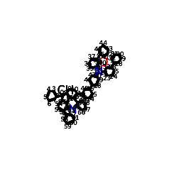 CC1(c2ccccc2)c2ccc(-c3cccc(-c4ccc(N(c5cccc(-c6ccccc6)c5)c5cccc6c5oc5ccccc56)cc4)c3)c3c2-c2c1ccc1c4ccccc4n(c21)-c1ccccc1-3